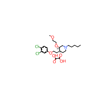 CCCCCN1CC[C@@H](CCOc2ccc(Cl)c(Cl)c2)[C@@H](OCCOC)C1.O=C(O)C(=O)O